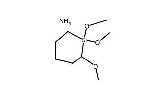 COC1CCCC[Si]1(OC)OC.N